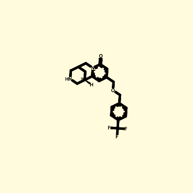 O=c1cc(COCc2ccc(C(F)(F)F)cc2)cc2n1CC1CNC[C@@H]2C1